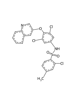 Cc1ccc(S(=O)(=O)Nc2cc(Cl)c(Oc3cnc4ccccc4c3)c(Cl)c2)c(Cl)c1